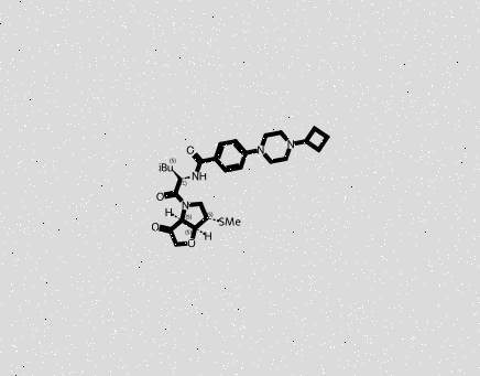 CC[C@H](C)[C@H](NC(=O)c1ccc(N2CCN(C3CCC3)CC2)cc1)C(=O)N1C[C@H](SC)[C@H]2OCC(=O)[C@H]21